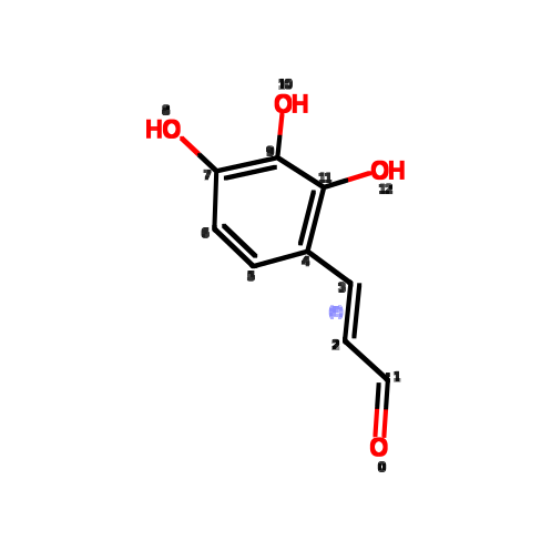 O=[C]/C=C/c1ccc(O)c(O)c1O